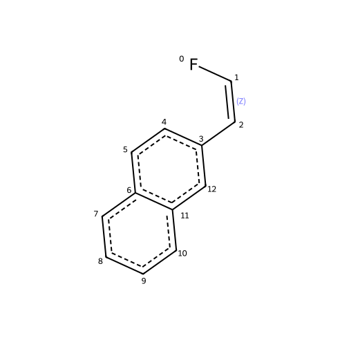 F/C=C\c1ccc2ccccc2c1